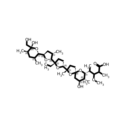 CC[C@@]1([C@@H]2O[C@@H]([C@H]3O[C@@](O)(CO)[C@H](C)C[C@@H]3C)C[C@@H]2C)CC[C@H]([C@]2(C)CC[C@]3(C[C@H](O)[C@@H](C)[C@@H](C(C)C(OC)C(C)C(=O)O)O3)O2)O1